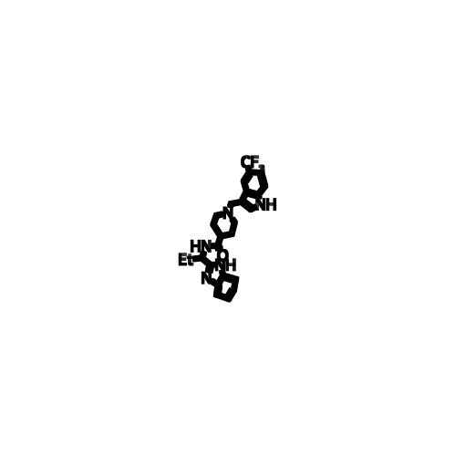 CCC(NC(=O)C1CCN(Cc2c[nH]c3ccc(C(F)(F)F)cc23)CC1)c1nc2ccccc2[nH]1